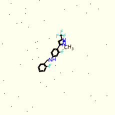 Cn1nc(C(F)(F)F)cc1-c1ccc(NCc2ccccc2F)cc1F